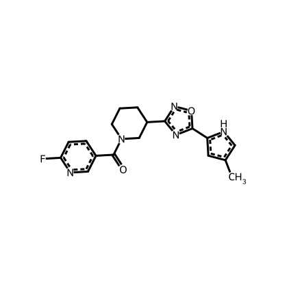 Cc1c[nH]c(-c2nc(C3CCCN(C(=O)c4ccc(F)nc4)C3)no2)c1